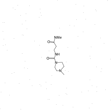 CNC(=O)CCNC(=O)N1CCN(C)CC1